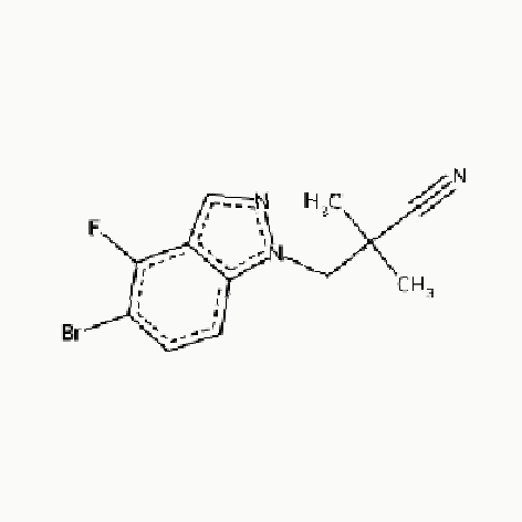 CC(C)(C#N)Cn1ncc2c(F)c(Br)ccc21